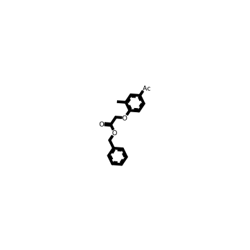 CC(=O)c1ccc(OCC(=O)OCc2ccccc2)c(C)c1